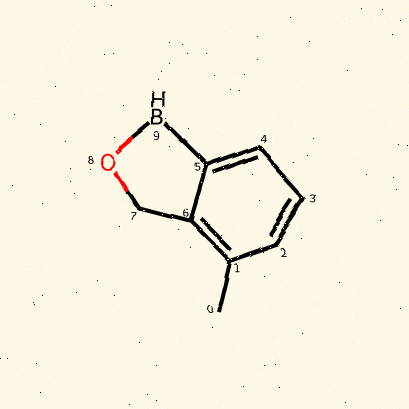 Cc1cccc2c1COB2